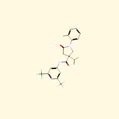 Cc1ccccc1N1CC(C(=O)Nc2cc(C(F)(F)F)cc(C(F)(F)F)c2)(C(C)C)CC1=O